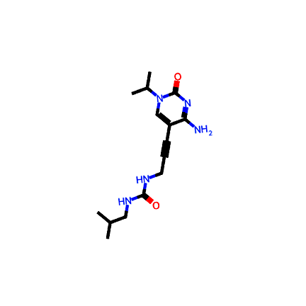 CC(C)CNC(=O)NCC#Cc1cn(C(C)C)c(=O)nc1N